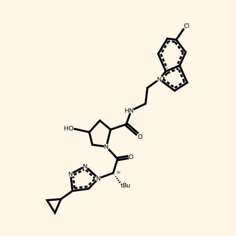 CC(C)(C)[C@@H](C(=O)N1CC(O)CC1C(=O)NCCn1ccc2cc(Cl)ccc21)n1cc(C2CC2)nn1